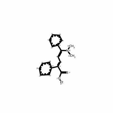 CCOC(=S)C(=CC=C(c1ccccc1)N(C)C)c1ccccc1